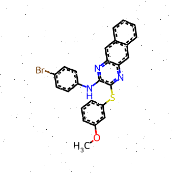 COc1cccc(Sc2nc3cc4ccccc4cc3nc2Nc2ccc(Br)cc2)c1